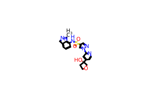 Cn1ncc2cccc(NS(=O)(=O)c3cnn(-c4cc([C@]5(O)CCOC5)ccn4)c3)c21